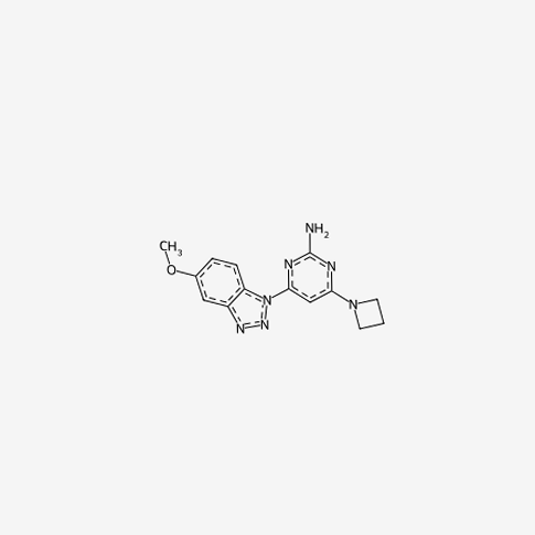 COc1ccc2c(c1)nnn2-c1cc(N2CCC2)nc(N)n1